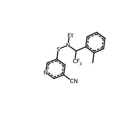 CCN(Sc1cncc(C#N)c1)C(c1ccccc1C)C(F)(F)F